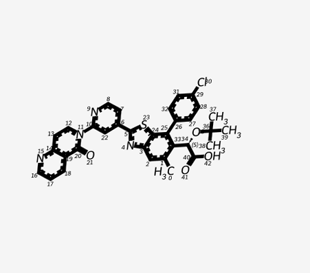 Cc1cc2nc(-c3ccnc(-n4ccc5ncccc5c4=O)c3)sc2c(-c2ccc(Cl)cc2)c1[C@H](OC(C)(C)C)C(=O)O